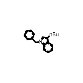 CCCCc1cn(Cc2ccccc2)c2ccccc12